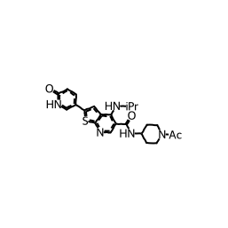 CC(=O)N1CCC(NC(=O)c2cnc3sc(-c4ccc(=O)[nH]c4)cc3c2NC(C)C)CC1